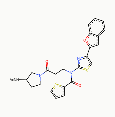 CC(=O)NC1CCN(C(=O)CCN(C(=O)c2cccs2)c2nc(-c3cc4ccccc4o3)cs2)C1